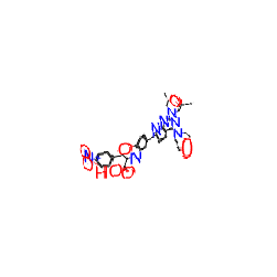 COc1ccc(-c2ccc3c(N4CCOCC4)nc(N4CC(C)OC(C)C4)nc3n2)cc1N(C)C(Cc1ccc([N+](=O)[O-])cc1)C(=O)O